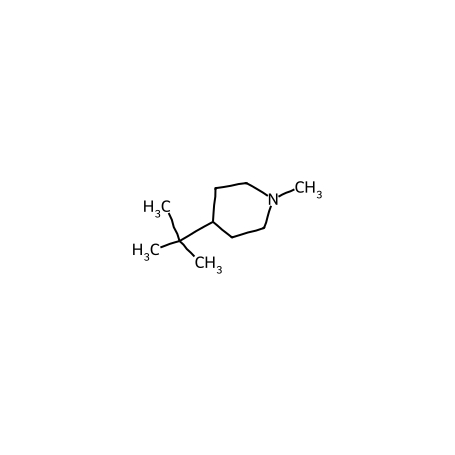 CN1CCC(C(C)(C)C)CC1